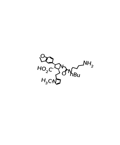 CCCCN(CCCCN)C(=O)CN1C[C@H](c2ccc3c(c2)CCO3)[C@@H](C(=O)O)[C@@H]1CCc1cccn1C